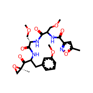 COCC(NC(=O)c1cc(C)on1)C(=O)N[C@@H](COC)C(=O)NC(Cc1cccc(OC)c1)C(=O)[C@@]1(C)CO1